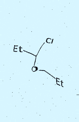 CCOC(Cl)CC